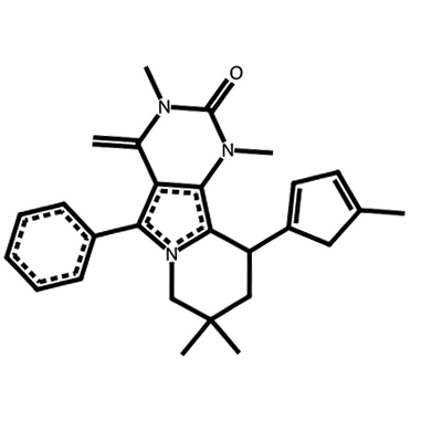 C=C1c2c(c3n(c2-c2ccccc2)CC(C)(C)CC3C2=CC=C(C)C2)N(C)C(=O)N1C